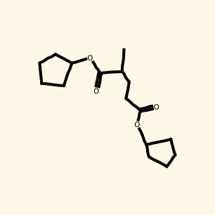 CC(CCC(=O)OC1CCCC1)C(=O)OC1CCCC1